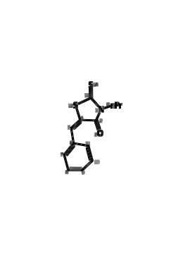 CCCN1C(=O)/C(=C\c2ccccc2)SC1=S